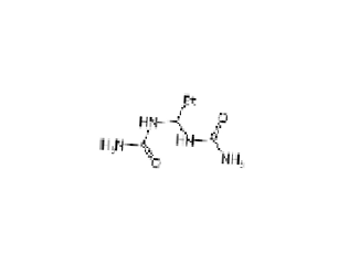 CCC(NC(N)=O)NC(N)=O